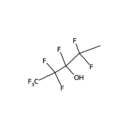 CC(F)(F)C(O)(F)C(F)(F)C(F)(F)F